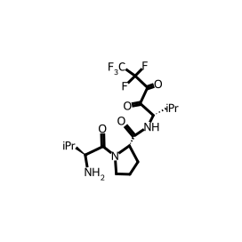 CC(C)[C@H](N)C(=O)N1CCC[C@H]1C(=O)N[C@H](C(=O)C(=O)C(F)(F)C(F)(F)F)C(C)C